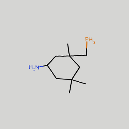 CC1(C)CC(N)CC(C)(CP)C1